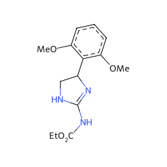 CCOC(=O)NC1=NC(c2c(OC)cccc2OC)CN1